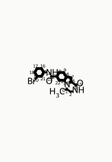 CC1CNC(=O)c2cc3ccc(C(=O)Nc4cccc(Br)c4)cc3n21